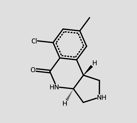 Cc1cc(Cl)c2c(c1)[C@@H]1CNC[C@H]1NC2=O